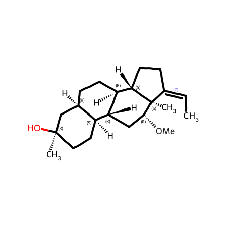 C/C=C1/CC[C@H]2[C@@H]3CC[C@@H]4C[C@](C)(O)CC[C@@H]4[C@H]3C[C@@H](OC)[C@]12C